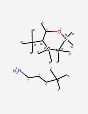 CC(C)(C)CCCN.CC1O[Si](C)(C)[Si](C)(C)[Si](C)(C)C1C(C)(C)C